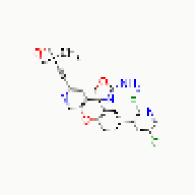 CC1(C#Cc2cc3c(cn2)Oc2ccc(-c4cc(Cl)cnc4F)cc2[C@@]32COC(N)=N2)COC1